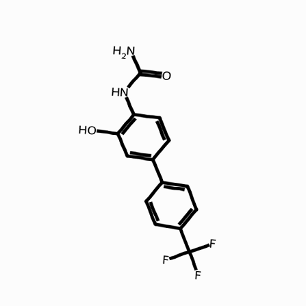 NC(=O)Nc1ccc(-c2ccc(C(F)(F)F)cc2)cc1O